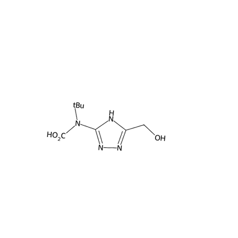 CC(C)(C)N(C(=O)O)c1nnc(CO)[nH]1